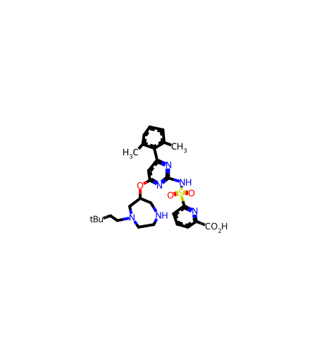 Cc1cccc(C)c1-c1cc(OC2CNCCN(CCC(C)(C)C)C2)nc(NS(=O)(=O)c2cccc(C(=O)O)n2)n1